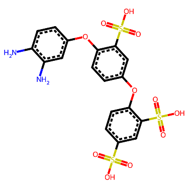 Nc1ccc(Oc2ccc(Oc3ccc(S(=O)(=O)O)cc3S(=O)(=O)O)cc2S(=O)(=O)O)cc1N